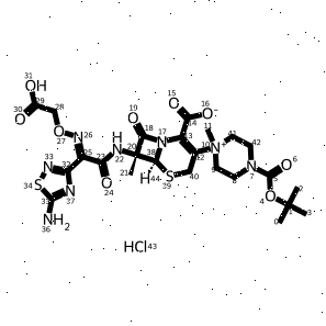 CC(C)(C)OC(=O)N1CC[N+](C)(C2=C(C(=O)[O-])N3C(=O)[C@@](C)(NC(=O)C(=NOCC(=O)O)c4nsc(N)n4)[C@@H]3SC2)CC1.Cl